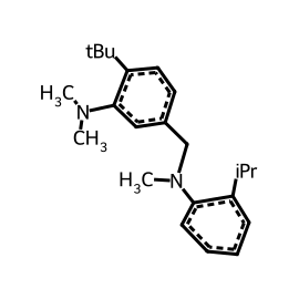 CC(C)c1ccccc1N(C)Cc1ccc(C(C)(C)C)c(N(C)C)c1